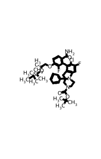 C[C@H](COc1ccc(C(N)=O)c(-c2c(Cl)c(F)cc3c2CC2(c4ccccc4)CN(C(=O)OC(C)(C)C)CCN32)c1F)O[Si](C)(C)C(C)(C)C